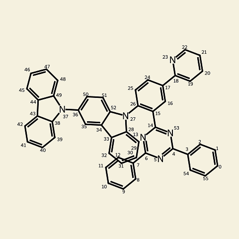 c1ccc(-c2nc(-c3ccccc3)nc(-c3cc(-c4ccccn4)ccc3-n3c4ccccc4c4cc(-n5c6ccccc6c6ccccc65)ccc43)n2)cc1